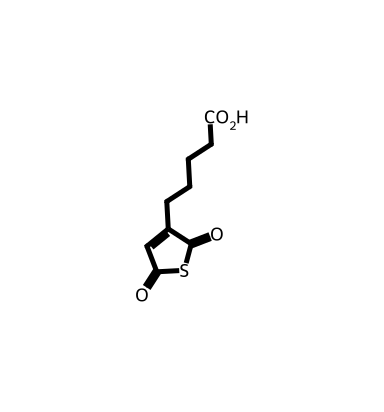 O=C(O)CCCCC1=CC(=O)SC1=O